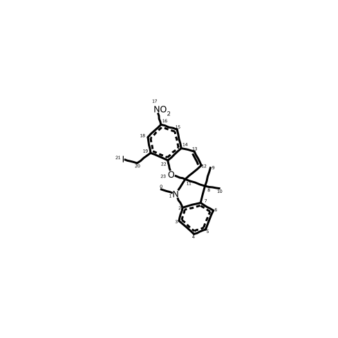 CN1c2ccccc2C(C)(C)C12C=Cc1cc([N+](=O)[O-])cc(CI)c1O2